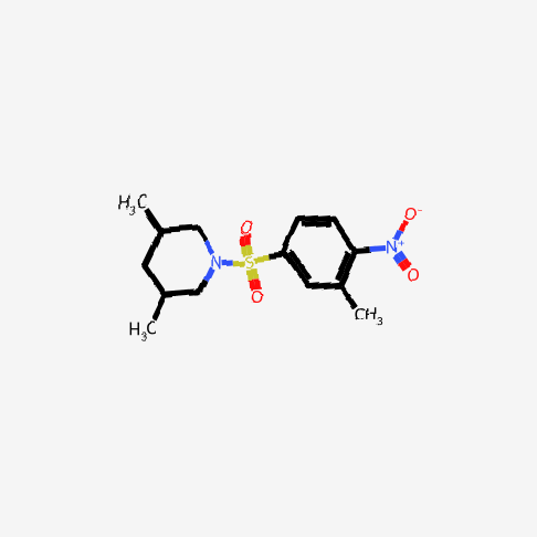 Cc1cc(S(=O)(=O)N2CC(C)CC(C)C2)ccc1[N+](=O)[O-]